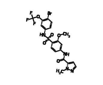 COc1cc(NC(=O)c2ccnn2C)ccc1S(=O)(=O)Nc1ccc(Br)c(OC(F)(F)F)c1